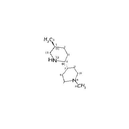 C[C@H]1CC[C@H](C2CCN(C)CC2)NC1